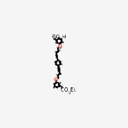 CCOC(=O)Cc1cccc(OC/C=C/C#Cc2ccc(C#C/C=C/COc3cccc(CC(=O)O)c3)cc2)c1